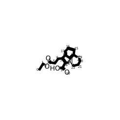 CCOC(=O)CCc1c(C(=O)O)n2c3c(cccc13)SCCC2